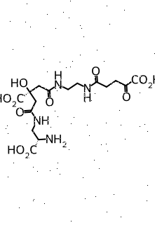 N[C@@H](CNC(=O)C[C@@](O)(CC(=O)NCCNC(=O)CCC(=O)C(=O)O)C(=O)O)C(=O)O